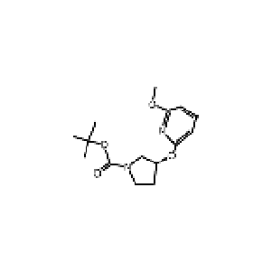 COc1cccc(O[C@H]2CCN(C(=O)OC(C)(C)C)C2)n1